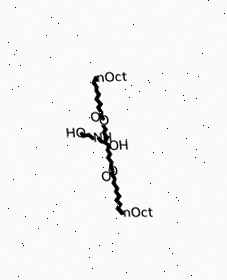 CCCCCCCC/C=C\CCCCCCCC(=O)OCCCCCC(O)C(CCCCOC(=O)CCCCCCC/C=C\CCCCCCCC)CNCCCO